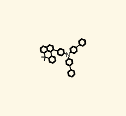 CC1(C)c2ccccc2-c2c(-c3ccc(N(c4ccc(-c5ccccc5)cc4)c4ccc(-c5ccccc5)cc4)cc3)ccc3cccc1c23